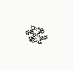 C[Si]1(C)c2ccccc2N(c2cc(-c3cc(-c4cc(-c5cccnc5)nc(-c5ccccn5)n4)cc(N4c5ccccc5[Si](C)(C)c5ccccc54)c3)cc(-c3cc(-c4cccnc4)nc(-c4ccccn4)n3)c2)c2ccccc21